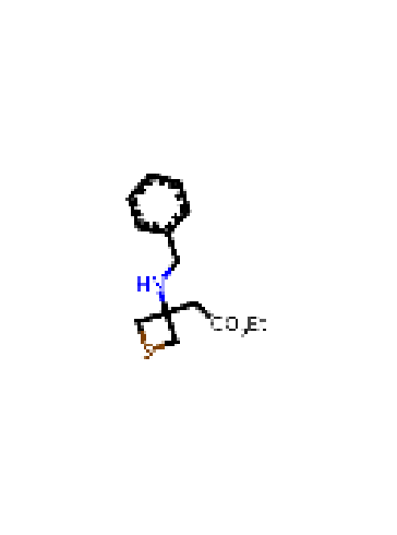 CCOC(=O)CC1(NCc2ccccc2)CSC1